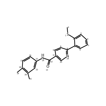 CSc1ccccc1-c1ccc(C(=O)Nc2ccc(C)c(C)c2)cn1